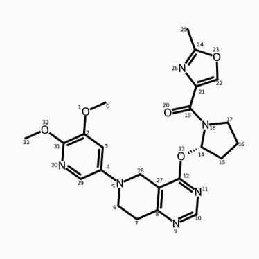 COc1cc(N2CCc3ncnc(O[C@H]4CCCN4C(=O)c4coc(C)n4)c3C2)cnc1OC